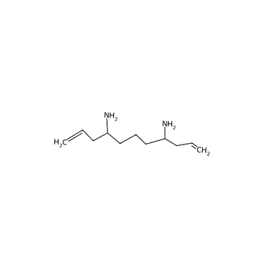 C=CCC(N)CCCC(N)CC=C